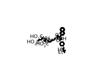 CCC(C)(C)NC[C@H]1CC[C@H](C(=O)N[C@H](C(=O)NCCCC[C@H](NC(=O)N[C@@H](CCC(=O)O)C(=O)O)C(=O)O)c2ccc3ccccc3c2)CC1